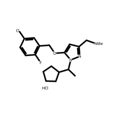 CNCc1cc(OCc2cc(Cl)ccc2F)n(C(C)C2CCCC2)n1.Cl